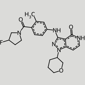 Cc1cc(Nc2nn(C3CCCOC3)c3cc[nH]c(=O)c23)ccc1C(=O)N1CCC(F)C1